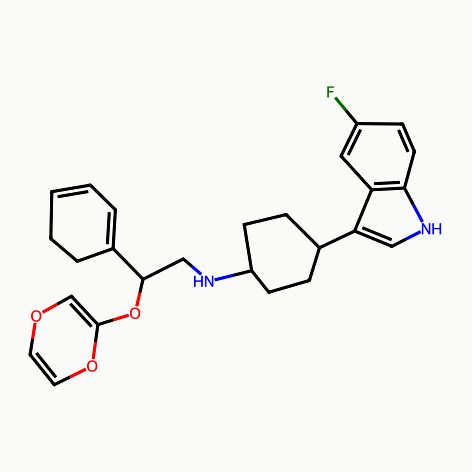 Fc1ccc2[nH]cc(C3CCC(NCC(OC4=COC=CO4)C4=CC=CCC4)CC3)c2c1